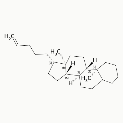 C=CCCC[C@H]1CC[C@H]2[C@@H]3CCC4CCCC[C@]4(C)[C@H]3CC[C@]12C